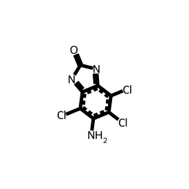 Nc1c(Cl)c(Cl)c2c(c1Cl)=NC(=O)N=2